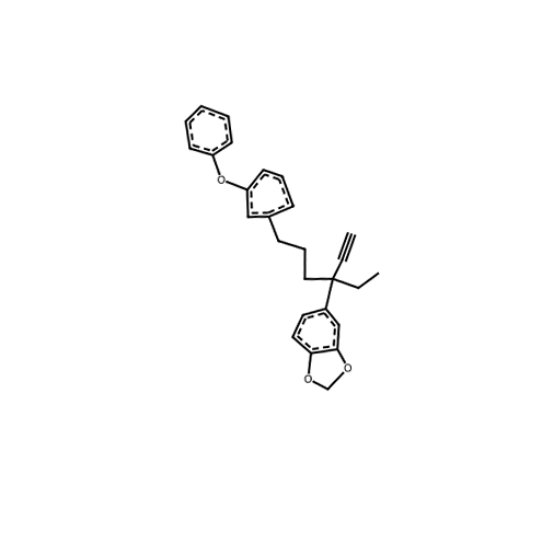 C#CC(CC)(CCCc1cccc(Oc2ccccc2)c1)c1ccc2c(c1)OCO2